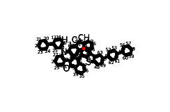 CC1(C)c2ccccc2-c2ccc(N(c3cccc(-c4ccccc4)c3)c3cccc4oc5c6ccccc6c(-c6cccc7c6sc6ccc(-c8ccc(-c9ccccc9)cc8)cc67)cc5c34)cc21